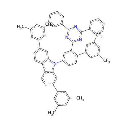 Cc1cc(C)cc(-c2ccc3c4ccc(-c5cc(C)cc(C)c5)cc4n(-c4ccc(-c5cc(C(F)(F)F)cc(C(F)(F)F)c5)c(-c5nc(-c6ccccc6)nc(-c6ccccc6)n5)c4)c3c2)c1